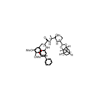 COc1cc(C[C@H](Nc2cccc(-c3ccccc3)c2)C(=O)N[C@@H](C)C(=O)N[C@@H](CC(C)C)B2O[C@@H]3C[C@@H]4C[C@@H](C4(C)C)[C@]3(C)O2)cc(OC)c1OC